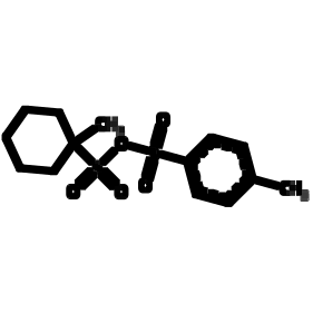 Cc1ccc(S(=O)(=O)OS(=O)(=O)C2(C)CCCCC2)cc1